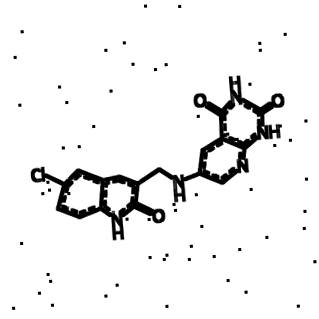 O=c1[nH]c(=O)c2cc(NCc3cc4cc(Cl)ccc4[nH]c3=O)cnc2[nH]1